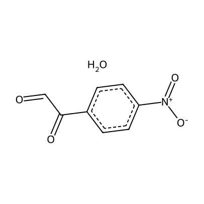 O.O=CC(=O)c1ccc([N+](=O)[O-])cc1